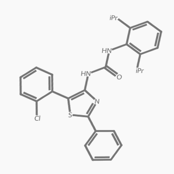 CC(C)c1cccc(C(C)C)c1NC(=O)Nc1nc(-c2ccccc2)sc1-c1ccccc1Cl